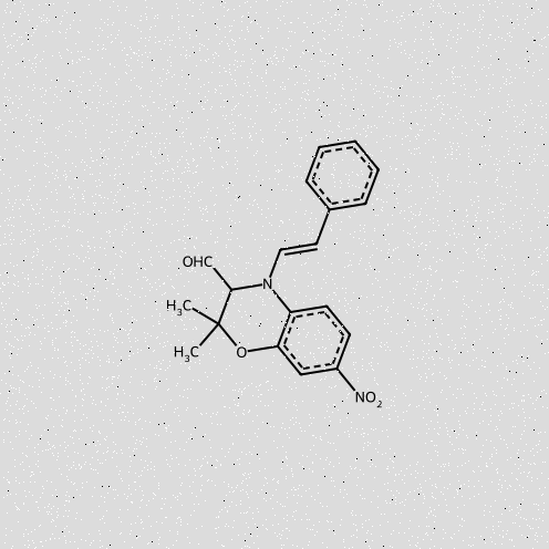 CC1(C)Oc2cc([N+](=O)[O-])ccc2N(C=Cc2ccccc2)C1C=O